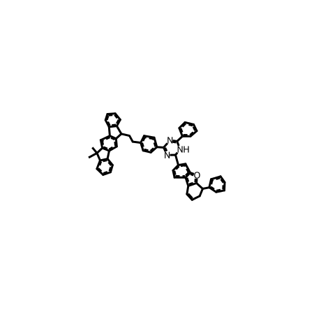 CC1(C)c2ccccc2-c2cc3c(cc21)-c1ccccc1C3CCc1ccc(C2=NC(c3ccc4c5c(oc4c3)C(c3ccccc3)CC=C5)NC(c3ccccc3)=N2)cc1